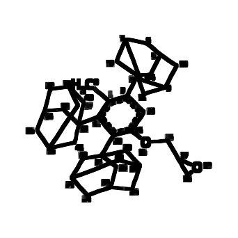 Cc1c(C23CC4CC(CC(C4)C2)C3)cc(OCC2CO2)c(C23CC4CC(CC(C4)C2)C3)c1C12CC3CC(CC(C3)C1)C2